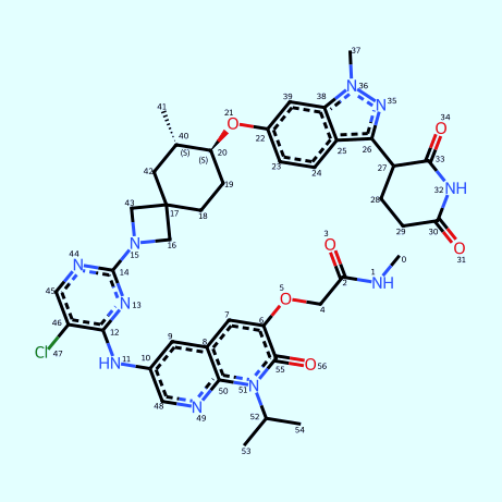 CNC(=O)COc1cc2cc(Nc3nc(N4CC5(CC[C@H](Oc6ccc7c(C8CCC(=O)NC8=O)nn(C)c7c6)[C@@H](C)C5)C4)ncc3Cl)cnc2n(C(C)C)c1=O